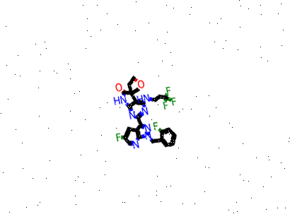 O=C1Nc2nc(-c3nn(Cc4ccccc4F)c4ncc(F)cc34)nc(NCCC(F)(F)F)c2C12CCOC2